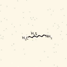 CCCCCCCCN.S